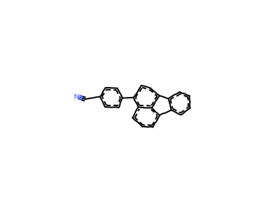 N#Cc1ccc(-c2ccc3c4c(cccc24)-c2ccccc2-3)cc1